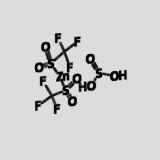 O=S(O)O.O=[S](=O)([Zn][S](=O)(=O)C(F)(F)F)C(F)(F)F